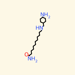 NC(=O)CCCCCCCCCCCNCC1CCC(N)CC1